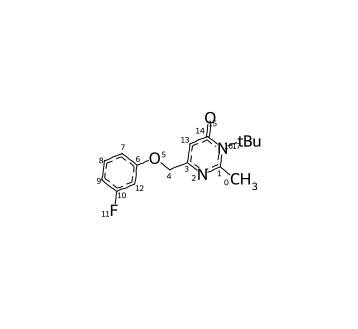 Cc1nc(COc2cccc(F)c2)cc(=O)n1C(C)(C)C